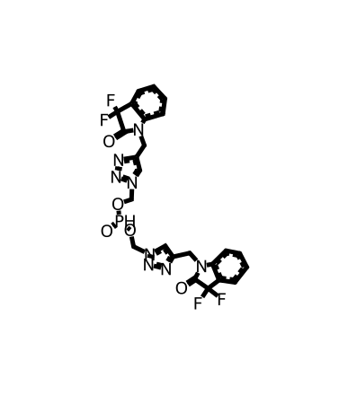 O=C1N(Cc2cn(CO[PH](=O)OCn3cc(CN4C(=O)C(F)(F)c5ccccc54)nn3)nn2)c2ccccc2C1(F)F